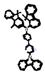 C/C=C(\C=C/C(C)n1c2ccccc2c2ccccc21)c1ccc(N(C2=CC(C)C3C(=C2)C(C)(C)c2ccccc23)c2cccc3c2C(C)(C)c2ccccc2-3)cc1